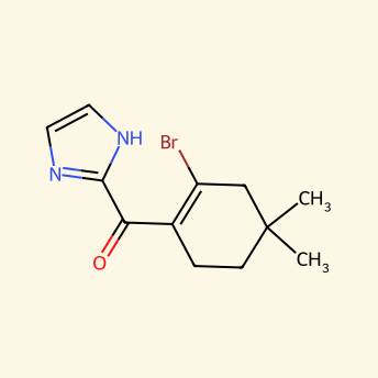 CC1(C)CCC(C(=O)c2ncc[nH]2)=C(Br)C1